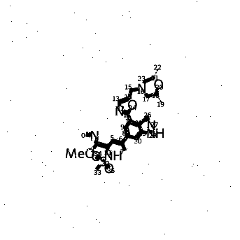 C=N/C(OC)=C(\C=C(/C)c1cc(-c2ncc(CN3C[C@@H](C)O[C@@H](C)C3)o2)c2cn[nH]c2c1)NS(C)(=O)=O